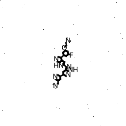 CN(C)CCOc1cc(F)cc(-c2cncc3[nH]c(-c4n[nH]c5ncc(-c6cncc(CN(C)C)c6)cc45)cc23)c1